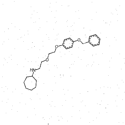 c1ccc(COc2ccc(OCCOCCNC3CCCCCC3)cc2)cc1